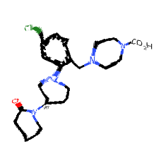 O=C(O)N1CCN(Cc2ccc(Cl)cc2N2CC[C@@H](N3CCCC3=O)C2)CC1